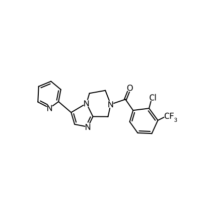 O=C(c1cccc(C(F)(F)F)c1Cl)N1CCn2c(-c3ccccn3)cnc2C1